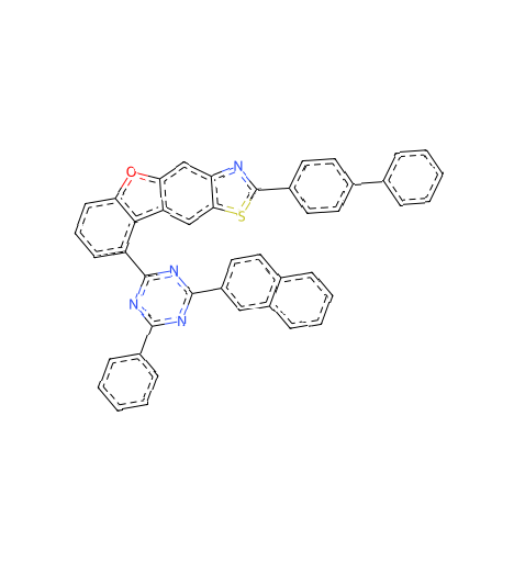 c1ccc(-c2ccc(-c3nc4cc5oc6cccc(-c7nc(-c8ccccc8)nc(-c8ccc9ccccc9c8)n7)c6c5cc4s3)cc2)cc1